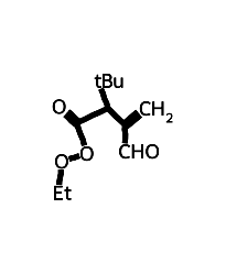 C=C(C=O)C(C(=O)OOCC)C(C)(C)C